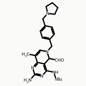 CCCCNc1nc(N)nc2c1C(C=O)N(Cc1ccc(CN3CCCC3)cc1)C=C2C